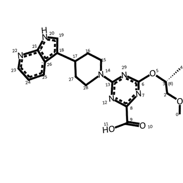 COC[C@@H](C)Oc1nc(C(=O)O)nc(N2CCC(c3c[nH]c4ncccc34)CC2)n1